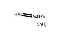 [AsH]=[AsH].[SnH2].[Zn]